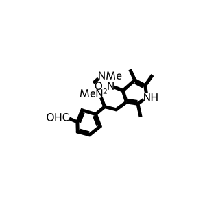 CNC.CNC(CC1=C(C)NC(C)=C(C)C1[N+](=O)[O-])c1cccc(C=O)c1